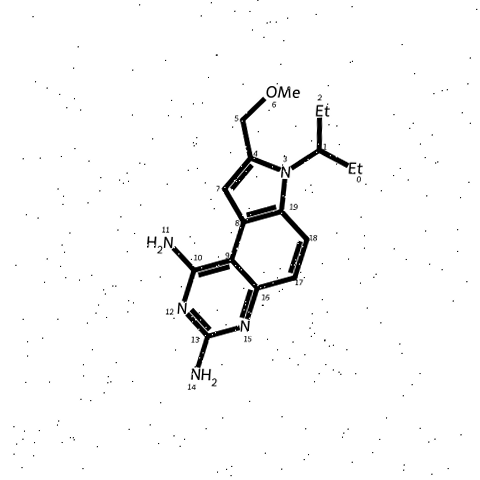 CCC(CC)n1c(COC)cc2c3c(N)nc(N)nc3ccc21